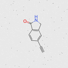 C#Cc1ccc2c(c1)CNC2=O